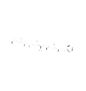 CC(=O)N(O)CNC(=O)CC(=O)N(O)CNC(=O)CC(=O)N(O)CNC(=O)CCc1ccc(C)cc1